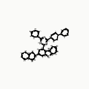 C1=CC(c2ccccc2)CC=C1c1nc(-c2ccccc2)nc(-c2cc(-c3ccc4ccccc4c3)cc3oc4ccccc4c23)n1